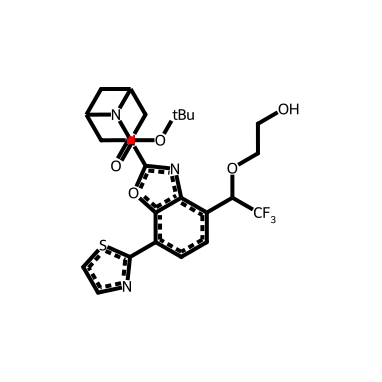 CC(C)(C)OC(=O)N1C2CC1CN(c1nc3c(C(OCCO)C(F)(F)F)ccc(-c4nccs4)c3o1)C2